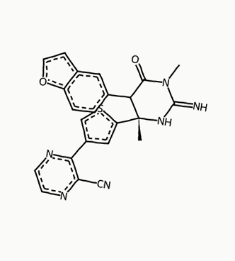 CN1C(=N)N[C@](C)(c2cc(-c3nccnc3C#N)cs2)C(c2ccc3occc3c2)C1=O